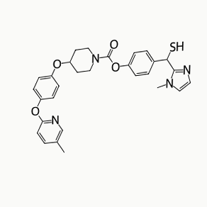 Cc1ccc(Oc2ccc(OC3CCN(C(=O)Oc4ccc(C(S)c5nccn5C)cc4)CC3)cc2)nc1